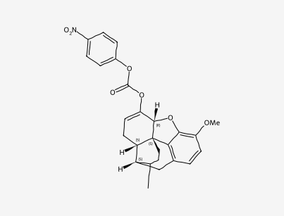 COc1ccc2c3c1O[C@H]1C(OC(=O)Oc4ccc([N+](=O)[O-])cc4)=CC[C@H]4[C@@H](C2)C(C)CC[C@]314